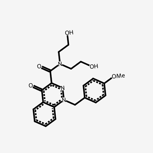 COc1ccc(Cn2nc(C(=O)N(CCO)CCO)c(=O)c3ccccc32)cc1